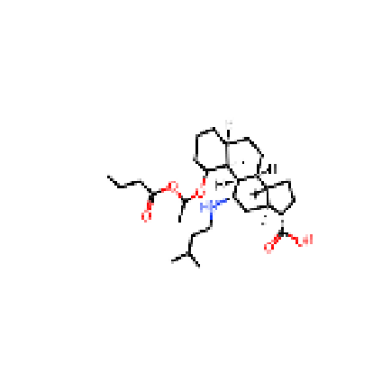 CCCC(=O)OC(C)OC1CCC[C@@H]2CC[C@@H]3[C@H]([C@H](NCCC(C)C)C[C@]4(C)[C@@H](C(=O)O)CC[C@@H]34)[C@@]12C